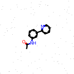 CC(=O)Nc1cccc(-c2cc[c]cn2)c1